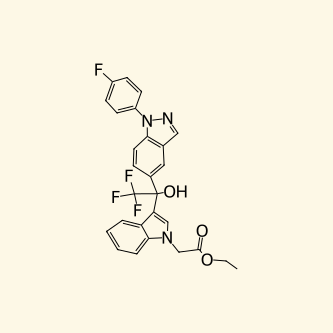 CCOC(=O)Cn1cc(C(O)(c2ccc3c(cnn3-c3ccc(F)cc3)c2)C(F)(F)F)c2ccccc21